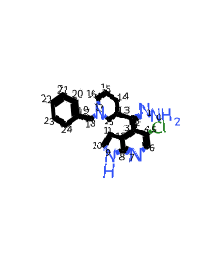 N/N=C(\c1c(Cl)cnc2[nH]ccc12)C1CCCN(Cc2ccccc2)C1